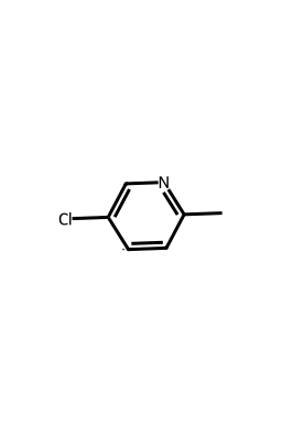 Cc1c[c]c(Cl)cn1